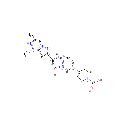 Cc1cn2nc(-c3cc(=O)n4cc(C5=CCN(C(=O)O)CC5)ccc4n3)cc2c(C)n1